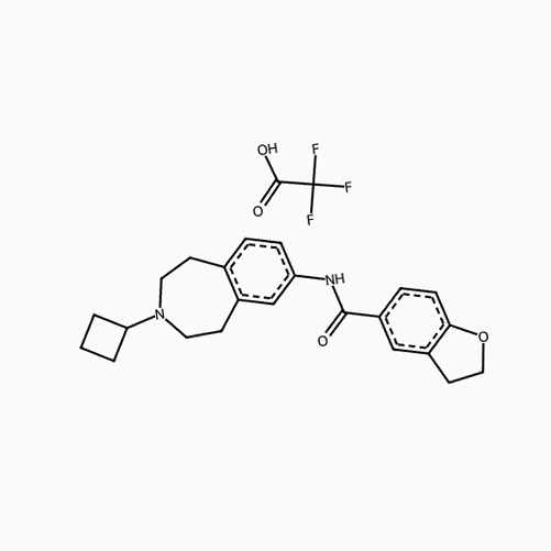 O=C(Nc1ccc2c(c1)CCN(C1CCC1)CC2)c1ccc2c(c1)CCO2.O=C(O)C(F)(F)F